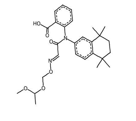 COC(C)OCON=CC(=O)N(c1ccc2c(c1)C(C)(C)CCC2(C)C)c1ccccc1C(=O)O